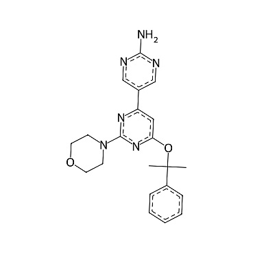 CC(C)(Oc1cc(-c2cnc(N)nc2)nc(N2CCOCC2)n1)c1ccccc1